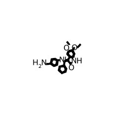 CCOc1cc2c(cc1OCC)C(=C(Nc1ccc(CN)cc1)c1ccccc1)C(=O)N2